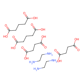 NCCN.NCCN.O=C(O)CCC(=O)O.O=C(O)CCC(=O)O.O=C(O)CCCC(=O)O.O=C(O)CCCC(=O)O